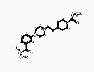 CON(C)C(=O)c1cccc(N2CCN(CCC3CCN(C(=O)OC(C)(C)C)CC3)CC2)c1